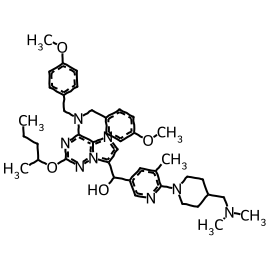 CCCC(C)Oc1nc(N(Cc2ccc(OC)cc2)Cc2ccc(OC)cc2)c2ncc(C(O)c3cnc(N4CCC(CN(C)C)CC4)c(C)c3)n2n1